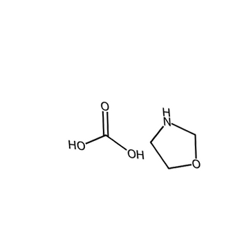 C1COCN1.O=C(O)O